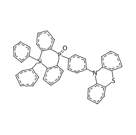 O=P1(c2ccc(N3c4ccccc4Sc4ccccc43)cc2)c2ccccc2[Si](c2ccccc2)(c2ccccc2)c2ccccc21